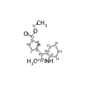 CCOC(=O)c1ccc(-c2c(C)[nH]c3ccccc23)s1